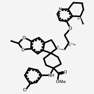 COC(=O)C1(Nc2cccc(Cl)c2)CCC2(CC1)c1cc3c(cc1C[C@@H]2C[C@@H](C)COc1ccnc2c1[C@H](C)CCC2)OC(C)O3